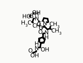 CC(C)[C@H](NC(=O)[C@@H]1CCCN1C(=O)[C@@H](NC(=O)c1ccc(C(O)NCC(=O)O)cc1)C(C)C)B(O)O